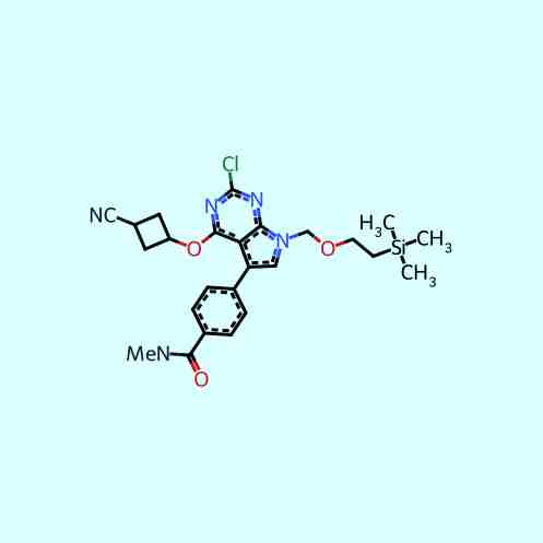 CNC(=O)c1ccc(-c2cn(COCC[Si](C)(C)C)c3nc(Cl)nc(OC4CC(C#N)C4)c23)cc1